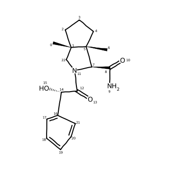 C[C@@]12CCC[C@]1(C)[C@@H](C(N)=O)N(C(=O)[C@@H](O)c1ccccc1)C2